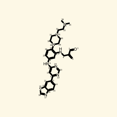 C=C(C=O)CNc1cc(Nc2cc(-c3ccc4ncsc4c3)ncn2)ccc1N1CCN(CCN(C)C)CC1